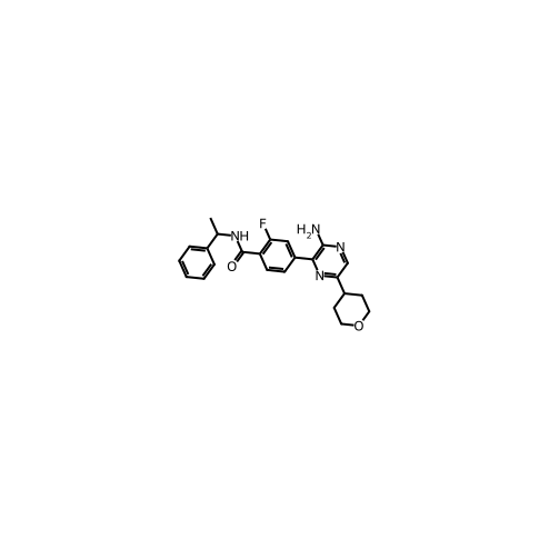 CC(NC(=O)c1ccc(-c2nc(C3CCOCC3)cnc2N)cc1F)c1ccccc1